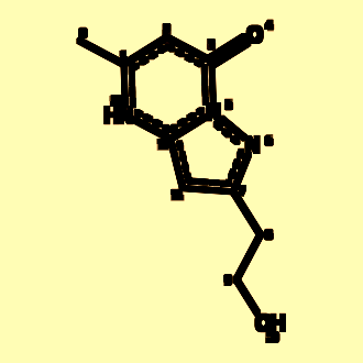 Cc1cc(=O)n2nc(CCO)cc2[nH]1